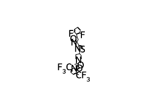 O=C(Cn1c(C(F)(F)F)ccc(C(F)(F)F)c1=O)N1CCC(c2nc(C3=NOC(c4c(F)cccc4F)C3)cs2)CC1